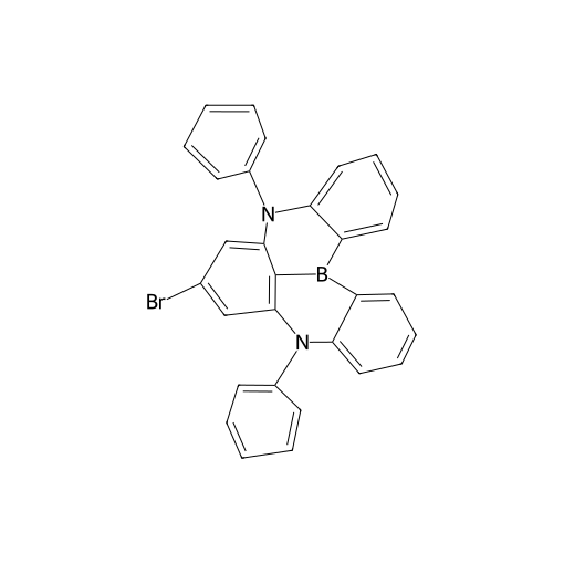 Brc1cc2c3c(c1)N(c1ccccc1)c1ccccc1B3c1ccccc1N2c1ccccc1